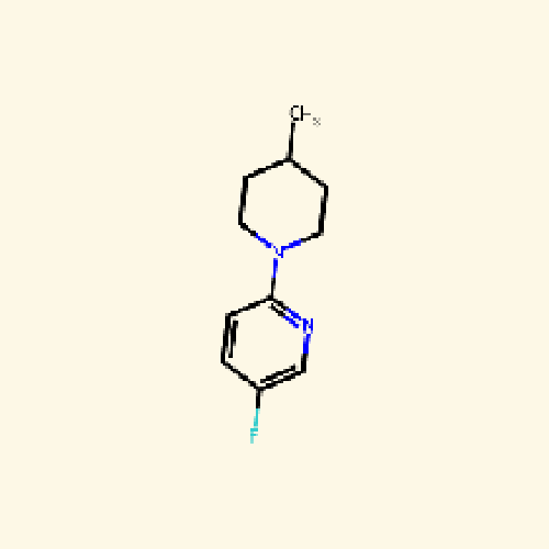 CC1CCN(c2ccc(F)cn2)CC1